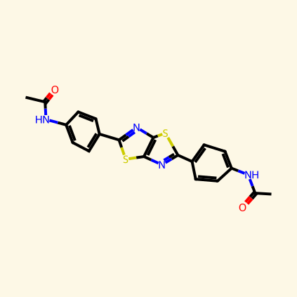 CC(=O)Nc1ccc(-c2nc3sc(-c4ccc(NC(C)=O)cc4)nc3s2)cc1